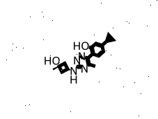 Cc1nc(N[C@H]2C[C@@](C)(O)C2)nnc1-c1ccc(C2CC2)cc1O